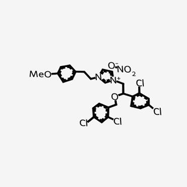 COc1ccc(CCn2cc[n+](CC(OCc3ccc(Cl)cc3Cl)c3ccc(Cl)cc3Cl)c2)cc1.O=[N+]([O-])[O-]